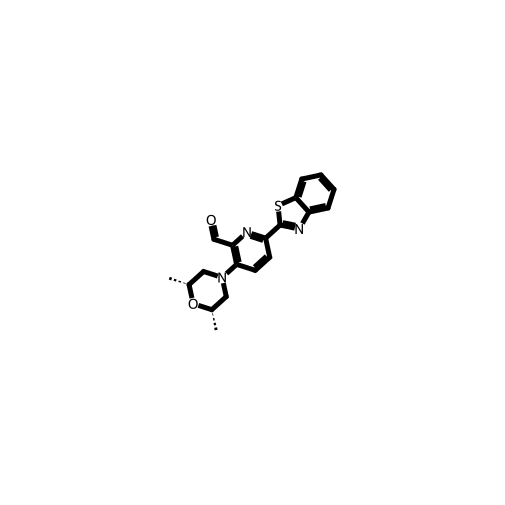 C[C@@H]1CN(c2ccc(-c3nc4ccccc4s3)nc2C=O)C[C@H](C)O1